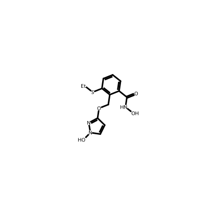 CCSc1cccc(C(=O)NO)c1COc1ccn(O)n1